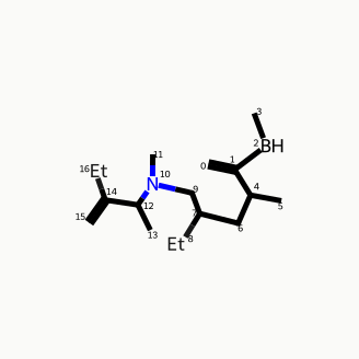 C=C(BC)C(C)CC(CC)CN(C)C(C)C(=C)CC